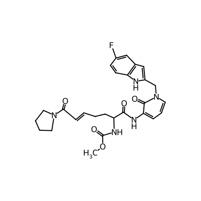 COC(=O)NC(CC/C=C/C(=O)N1CCCC1)C(=O)Nc1cccn(Cc2cc3cc(F)ccc3[nH]2)c1=O